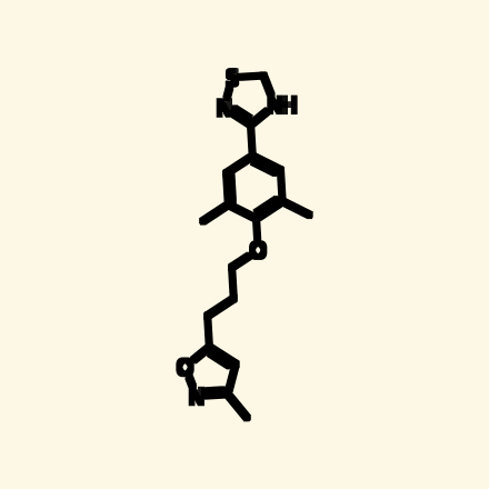 Cc1cc(CCCOc2c(C)cc(C3=NSCN3)cc2C)on1